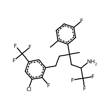 Cc1ccc(F)cc1C(C)(CCc1cc(C(F)(F)F)cc(Cl)c1F)CC(N)C(F)(F)F